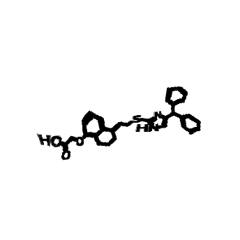 O=C(O)COc1cccc2c1CCCC2=CCSc1nc(C(c2ccccc2)c2ccccc2)c[nH]1